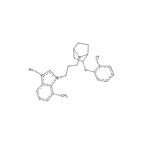 CC(=O)c1cn(CCCN2C3CCC2C(Oc2ccccc2Cl)C3)c2c(C)cccc12